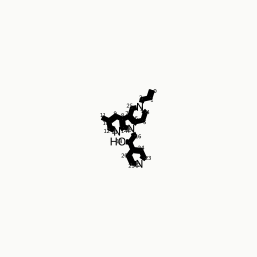 C=CCN1CCc2c(c3cc(C)cnc3n2CC(O)c2ccncc2)C1